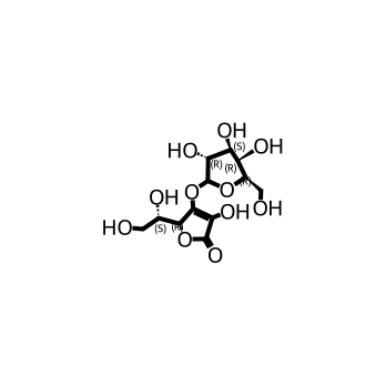 O=C1O[C@H]([C@@H](O)CO)C(OC2O[C@H](CO)[C@H](O)[C@H](O)[C@H]2O)=C1O